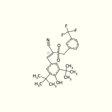 CC(C)(C)c1cc(/C=C(/C#N)S(=O)(=O)Cc2cccc(C(F)(F)F)c2)cc(C(C)(C)C)c1O